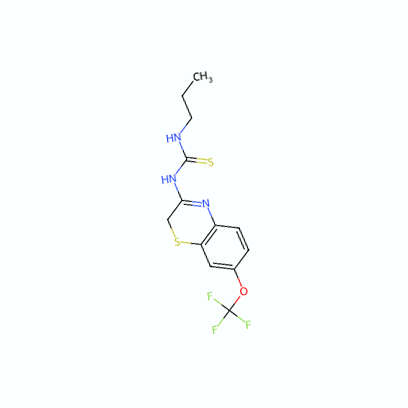 CCCNC(=S)NC1=Nc2ccc(OC(F)(F)F)cc2SC1